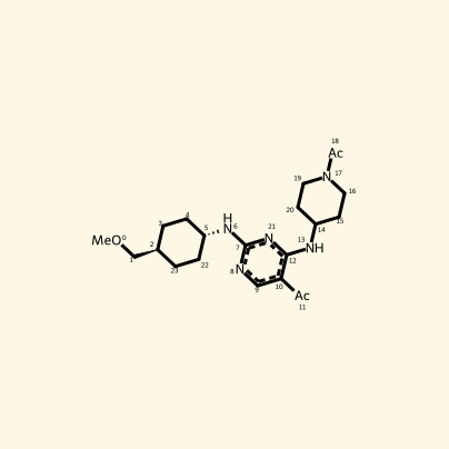 COC[C@H]1CC[C@H](Nc2ncc(C(C)=O)c(NC3CCN(C(C)=O)CC3)n2)CC1